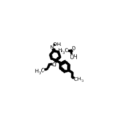 CC(=O)O.CCCOC1(c2ccc(CCC)cc2)CCC(=NO)CC1